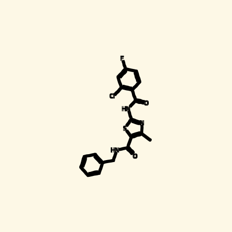 Cc1nc(NC(=O)c2ccc(F)cc2Cl)sc1C(=O)NCc1ccccc1